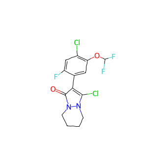 O=c1c(-c2cc(OC(F)F)c(Cl)cc2F)c(Cl)n2n1CCCC2